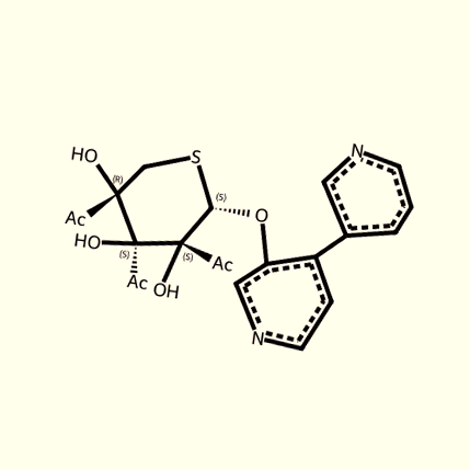 CC(=O)[C@]1(O)[C@@](O)(C(C)=O)CS[C@H](Oc2cnccc2-c2cccnc2)[C@@]1(O)C(C)=O